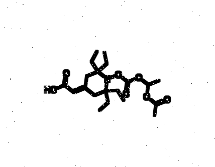 CCC1(CC)CC(=CC(=O)O)CC(CC)(CC)N1OC(=O)OC(C)OC(C)=O